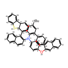 CC(C)(C)c1ccc(N(c2ccc3oc4cc5ccccc5cc4c3c2)c2ccc3ccccc3c2C2=CC=CC3c4ccccc4SC23)c(-c2ccccc2)c1